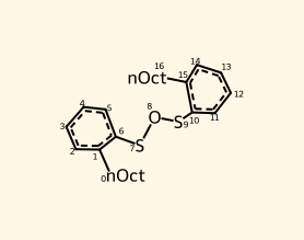 CCCCCCCCc1ccccc1SOSc1ccccc1CCCCCCCC